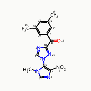 Cn1cnc([N+](=O)[O-])c1-n1cnc(C(=O)c2cc(C(F)(F)F)cc(C(F)(F)F)c2)n1